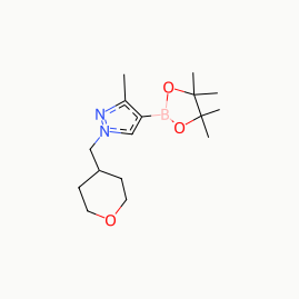 Cc1nn(CC2CCOCC2)cc1B1OC(C)(C)C(C)(C)O1